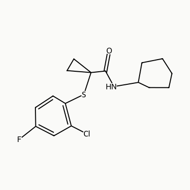 O=C(NC1CCCCC1)C1(Sc2ccc(F)cc2Cl)CC1